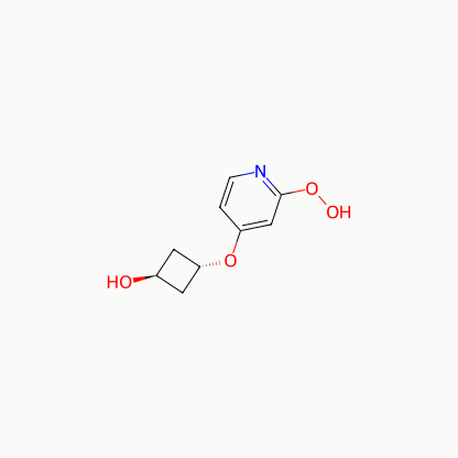 OOc1cc(O[C@H]2C[C@H](O)C2)ccn1